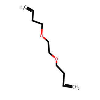 C=CCCOCCOCCC=C